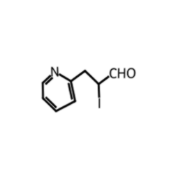 O=CC(I)Cc1ccccn1